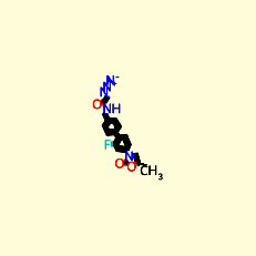 CC[C@H]1CN(c2ccc(-c3ccc(CNC(=O)CN=[N+]=[N-])cc3)c(F)c2)C(=O)O1